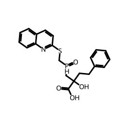 O=C(O)C(O)(CCc1ccccc1)C[PH](=O)CSc1ccc2ccccc2n1